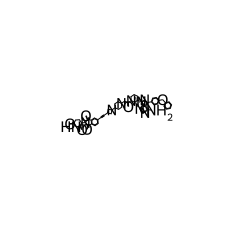 Nc1ncnc2c1c(-c1ccc(Oc3ccccc3)cc1)nn2[C@@H]1CCCN(C(=O)CN2CCC(N3CC(C#Cc4ccc5c(c4)C(=O)N(C4CCC(=O)NC4=O)C5=O)C3)CC2)C1